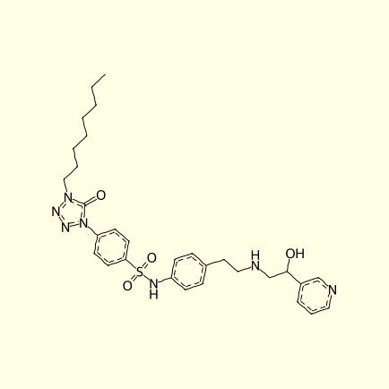 CCCCCCCCn1nnn(-c2ccc(S(=O)(=O)Nc3ccc(CCNCC(O)c4cccnc4)cc3)cc2)c1=O